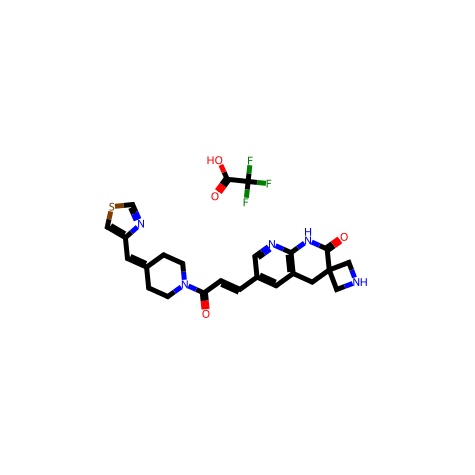 O=C(C=Cc1cnc2c(c1)CC1(CNC1)C(=O)N2)N1CCC(=Cc2cscn2)CC1.O=C(O)C(F)(F)F